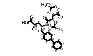 CC(=O)O[C@H](C(=O)O)[C@H](OC(C)=O)C(=O)N[C@H](Cc1ccc(-c2ccccc2)cc1)C[C@@H](C)C(=O)O